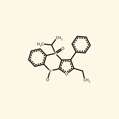 CCc1oc2c(c1-c1ccccc1)P(=O)(C(C)C)c1ccccc1[S+]2[O-]